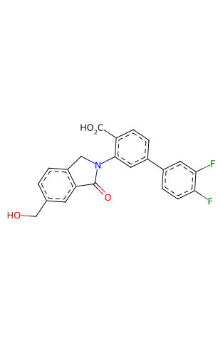 O=C(O)c1ccc(-c2ccc(F)c(F)c2)cc1N1Cc2ccc(CO)cc2C1=O